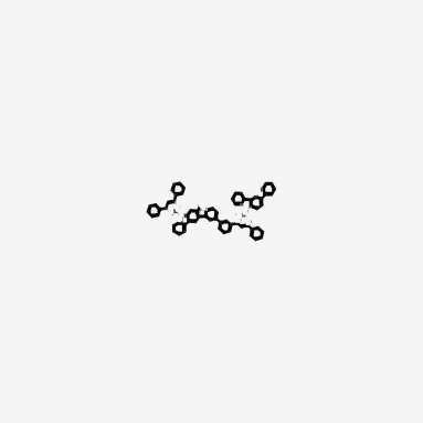 c1ccc(-c2cc(-c3ccccc3)nc(-n3c4ccccc4c4cc5c(cc43)oc3ccc(-c4cccc(-c6cc(-c7ccccc7)nc(-n7c8ccccc8c8c9oc%10ccccc%10c9ccc87)n6)c4)cc35)n2)cc1